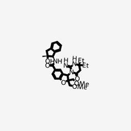 CCC1(CC)CC(=O)N(C2c3cc(C(=O)N[C@@H]4c5ccccc5C[C@@]4(C)O)ccc3OC2(COC)COC)C(=N)N1